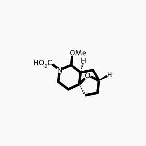 COC1[C@H]2C[C@@H]3CC[C@@]2(CCN1C(=O)O)O3